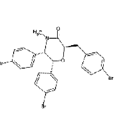 CN1C(=O)[C@@H](Cc2ccc(Br)cc2)O[C@H](c2ccc(Br)cc2)[C@@H]1c1ccc(Br)cc1